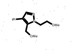 COCCn1ncc(C(C)C)c1COC